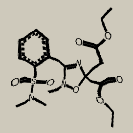 CCOC(=O)CC1(C(=O)OCC)N=C(c2ccccc2S(=O)(=O)N(C)C)N(C)O1